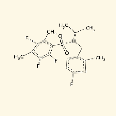 Cc1cc(F)ccc1CN(C(C)C)S(=O)(=O)c1c(C)c(F)c(C)c(F)c1F